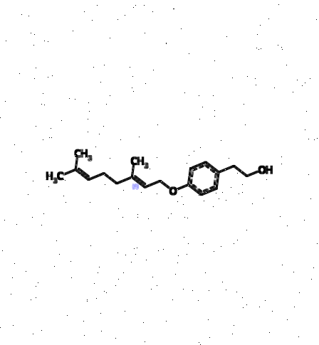 CC(C)=CCC/C(C)=C/COc1ccc(CCO)cc1